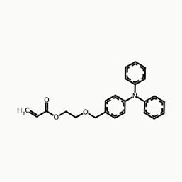 C=CC(=O)OCCOCc1ccc(N(c2ccccc2)c2ccccc2)cc1